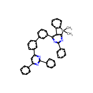 C[Si]1(C)c2ccccc2-c2c(-c3cccc(-c4cccc(-c5cc(-c6ccccc6)nc(-c6ccccc6)n5)c4)c3)nc(-c3ccccc3)nc21